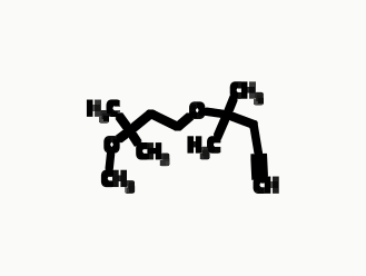 C#CCC(C)(C)OCCC(C)(C)OC